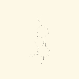 COc1ccc2c(c1)cc1c(=O)n(C)ccn12